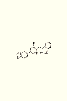 O=C1C=Nc2ccccc2C1Cc1c(F)cc(-c2ccc3nccn3c2)cc1F